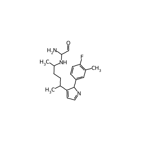 Cc1cc(C2N=CC=C2C(C)CCC(C)NC(N)C=O)ccc1F